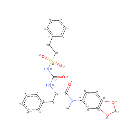 CN(C(=O)C(Cc1ccccc1)NC(=O)NS(=O)(=O)CCc1ccccc1)c1ccc2c(c1)OCO2